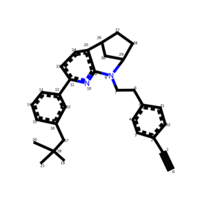 C#Cc1ccc(CCN2c3nc(-c4cccc(CC(C)(C)C)c4)ccc3C3CCC2C3)cc1